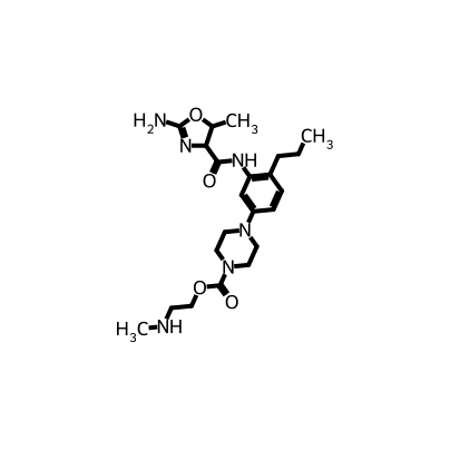 CCCc1ccc(N2CCN(C(=O)OCCNC)CC2)cc1NC(=O)C1N=C(N)OC1C